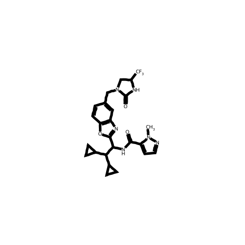 Cn1nccc1C(=O)NC(c1nc2cc(CN3CC(C(F)(F)F)NC3=O)ccc2o1)C(C1CC1)C1CC1